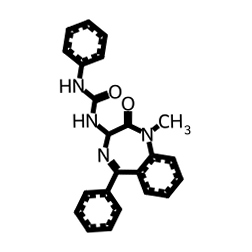 CN1C(=O)C(NC(=O)Nc2ccccc2)N=C(c2ccccc2)c2ccccc21